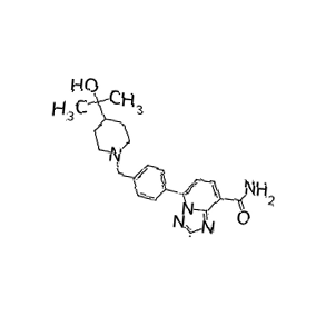 CC(C)(O)C1CCN(Cc2ccc(-c3ccc(C(N)=O)c4n[c]nn34)cc2)CC1